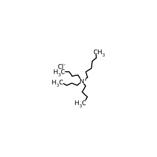 CCCCCC[N+](CCCC)(CCCC)CCCC.[Cl-]